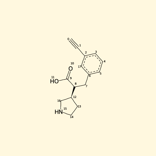 C#Cc1cccc(CC(C(=O)O)[C@H]2CCNC2)c1